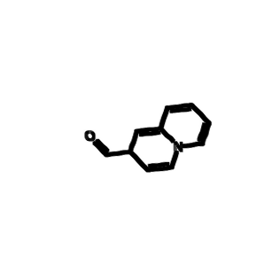 O=CC1C=CN2C=CC=CC2=C1